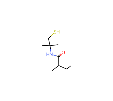 CCC(C)C(=O)NC(C)(C)CS